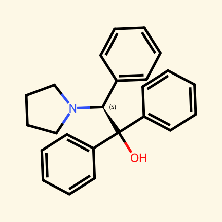 OC(c1ccccc1)(c1ccccc1)[C@H](c1ccccc1)N1CCCC1